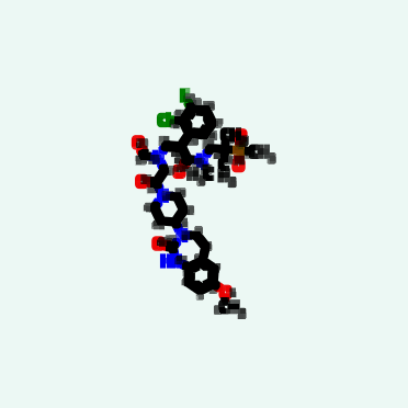 COc1ccc2c(c1)CCN(C1CCN(C(=O)CN(C=O)/C=C(\C(=O)N(C)CC(C)(C)S(C)(=O)=O)c3cccc(F)c3Cl)CC1)C(=O)N2